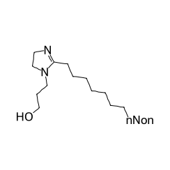 CCCCCCCCCCCCCCCCC1=NCCN1CCCO